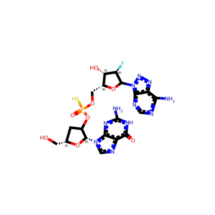 Nc1nc2c(ncn2[C@@H]2O[C@H](CO)CC2OP(=O)(S)OC[C@H]2OC(n3nnc4c(N)ncnc43)[C@H](F)[C@H]2O)c(=O)[nH]1